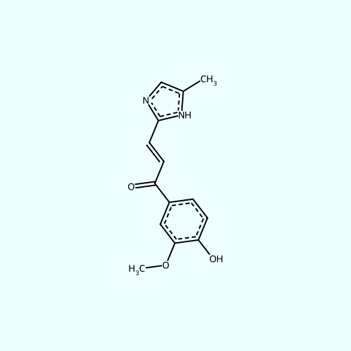 COc1cc(C(=O)/C=C/c2ncc(C)[nH]2)ccc1O